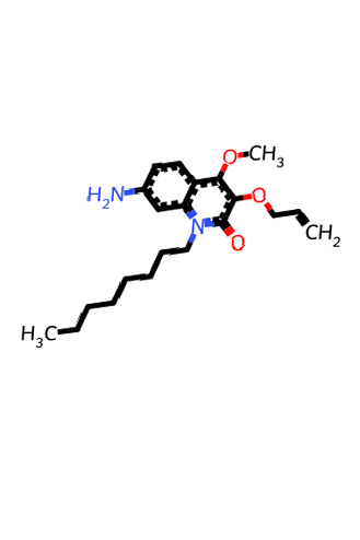 C=CCOc1c(OC)c2ccc(N)cc2n(CCCCCCCC)c1=O